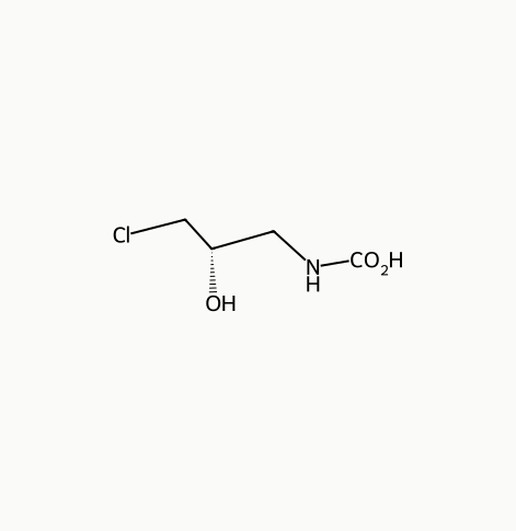 O=C(O)NC[C@H](O)CCl